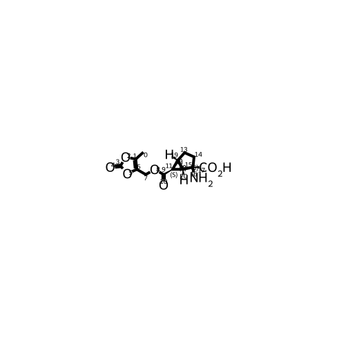 Cc1oc(=O)oc1COC(=O)[C@H]1[C@@H]2CC[C@@](N)(C(=O)O)[C@@H]21